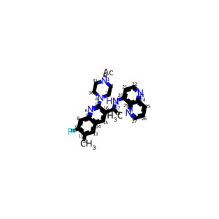 CC(=O)N1CCN(c2nc3cc(F)c(C)cc3cc2C(C)Nc2ccnc3cccnc23)CC1